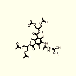 CC(=O)OCC(COC(C)=O)NC(=O)c1c(I)c(NC(=O)O)c(I)c(C(=O)NC(COC(C)=O)COC(C)=O)c1I.NC(=O)O